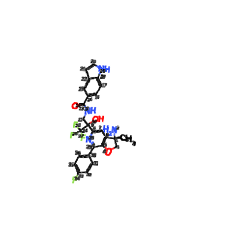 C[C@@]1(N)COc2c1cc(C(O)(CNC(=O)c1ccc3[nH]ccc3c1)C(F)(F)F)nc2-c1ccc(F)cc1